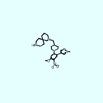 COc1cc(N2CCC(CN3CCCC4(CCNCC4)C3)CC2)c(-c2cnn(C)c2)cc1[N+](=O)[O-]